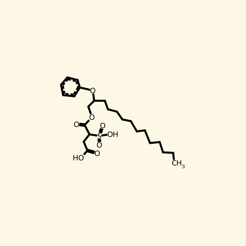 CCCCCCCCCCCCC(COC(=O)C(CC(=O)O)S(=O)(=O)O)Oc1ccccc1